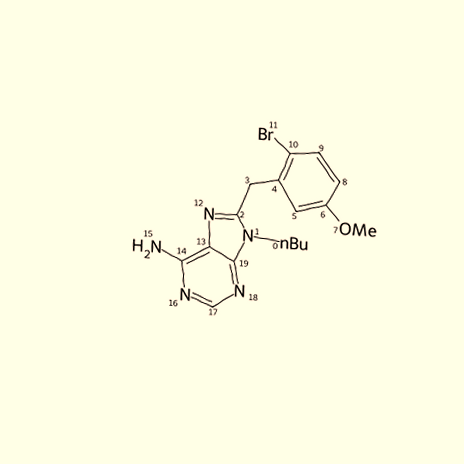 CCCCn1c(Cc2cc(OC)ccc2Br)nc2c(N)ncnc21